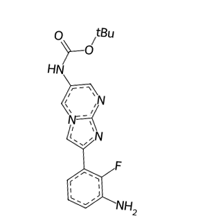 CC(C)(C)OC(=O)Nc1cnc2nc(-c3cccc(N)c3F)cn2c1